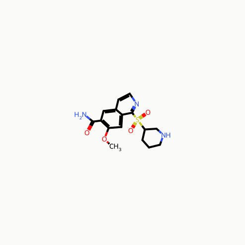 COc1cc2c(S(=O)(=O)C3CCCNC3)nccc2cc1C(N)=O